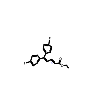 CCOC(=O)/C=C/C=C(c1ccc(F)cc1)c1ccc(F)cc1